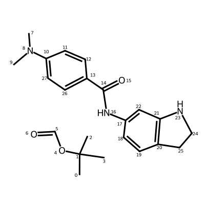 CC(C)(C)OC=O.CN(C)c1ccc(C(=O)Nc2ccc3c(c2)NCC3)cc1